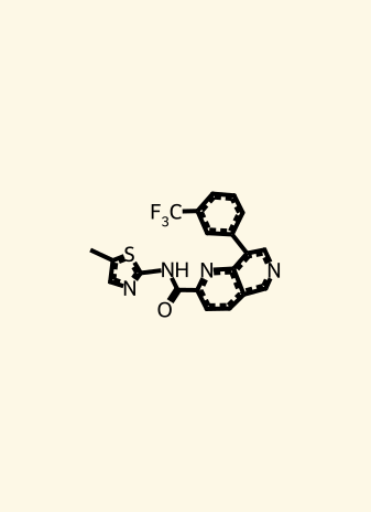 Cc1cnc(NC(=O)c2ccc3cncc(-c4cccc(C(F)(F)F)c4)c3n2)s1